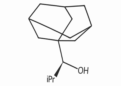 CC(C)[C@H](O)C12CC3CC(CC(C3)C1)C2